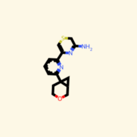 NC1=NC(c2cccc(C34CCOCC3C4)n2)=CSC1